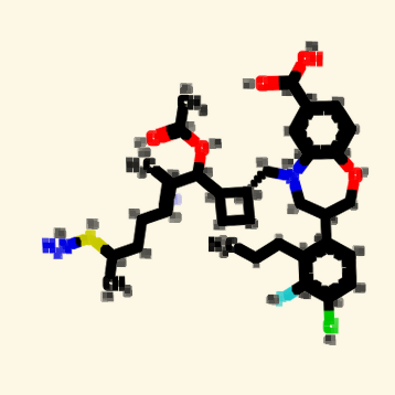 CCCc1c(C2COc3ccc(C(=O)O)cc3N(C[C@@H]3CCC3C(OC(C)=O)/C(C)=C/CCC(C)SN)C2)ccc(Cl)c1F